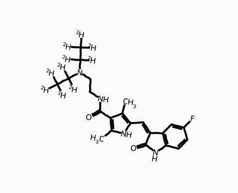 [2H]C([2H])([2H])C([2H])([2H])N(CCNC(=O)c1c(C)[nH]c(/C=C2\C(=O)Nc3ccc(F)cc32)c1C)C([2H])([2H])C([2H])([2H])[2H]